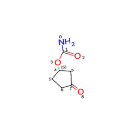 NC(=O)O[C@H]1CCC(=O)C1